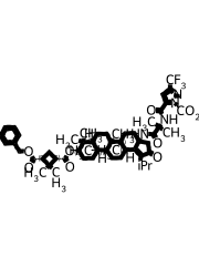 CCOC(=O)n1nc(C(F)(F)F)cc1C(=O)NC(C)(C)C(=O)N[C@@]12CC[C@]3(C)[C@H](CC[C@@H]4[C@@]5(C)CC[C@H](OC(=O)[C@H]6C[C@@H](C(=O)OCc7ccccc7)C6(C)C)C(C)(C)[C@@H]5CC[C@]43C)C1=C(C(C)C)C(=O)C2